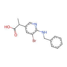 CC(C(=O)O)c1cnc(NCc2ccccc2)c(Br)c1